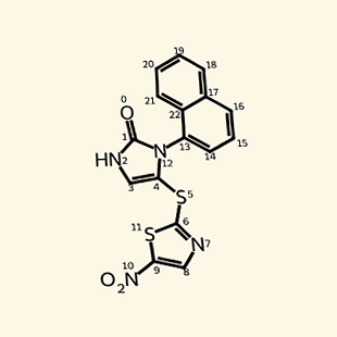 O=c1[nH]cc(Sc2ncc([N+](=O)[O-])s2)n1-c1cccc2ccccc12